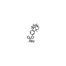 CNC(=O)Oc1ccc2c(c1)C1(C)CCN(C)[C@@H]1N2C